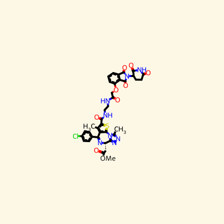 COC(=O)C[C@@H]1N=C(c2ccc(Cl)cc2)c2c(sc(C(=O)NCCNC(=O)COc3cccc4c3C(=O)N(C3CCC(=O)NC3=O)C4=O)c2C)-n2c(C)nnc21